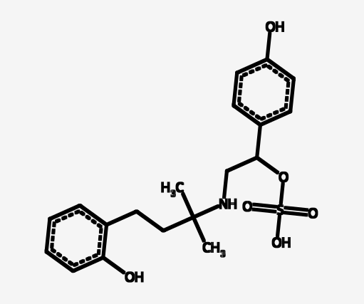 CC(C)(CCc1ccccc1O)NCC(OS(=O)(=O)O)c1ccc(O)cc1